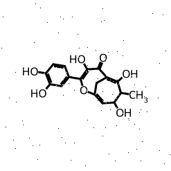 CC1C(O)=C2CC(=CC1O)OC(c1ccc(O)c(O)c1)=C(O)C2=O